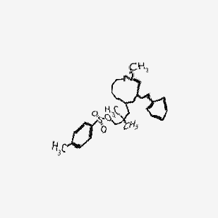 Cc1ccc(S(=O)(=O)OCC(C)(C)CC2CCCCN(C)CC(Cc3ccccc3)C2)cc1